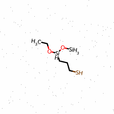 CCO[SiH](CCCS)O[SiH3]